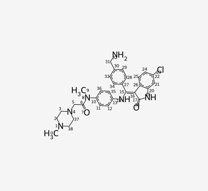 CN1CCN(CC(=O)N(C)c2ccc(N/C(=C3\C(=O)Nc4cc(Cl)ccc43)c3ccc(CN)cc3)cc2)CC1